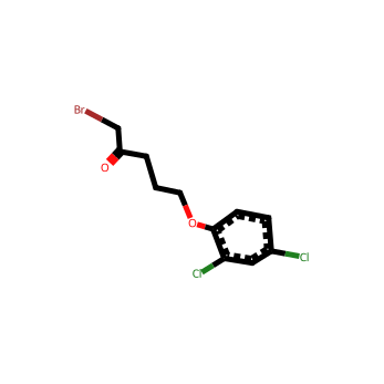 O=C(CBr)CCCOc1ccc(Cl)cc1Cl